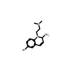 CN(C)CCN1c2ccc(Br)cc2C=CC1N